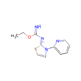 CCOC(=N)/N=c1\sccn1-c1ccccn1